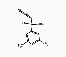 CC[C@](N=[N+]=[N-])(c1cc(C(F)(F)F)cc(C(F)(F)F)c1)C(C)(C)C